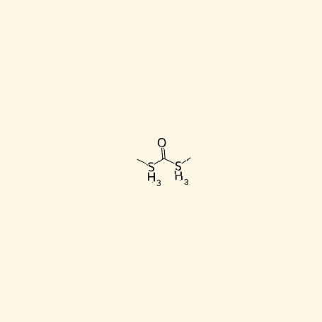 C[SH3](C)C(=O)[SH3](C)C